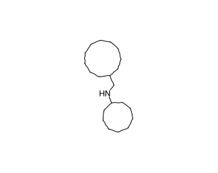 C1CCCCCC(CNC2CCCCCCCC2)CCCC1